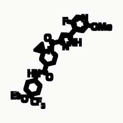 CCOC1(C(F)(F)F)CCC(NC(=O)C2CCN(C(=O)c3cc(-c4cc(OC)ncc4F)[nH]n3)C3(CC3)C2)CC1